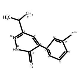 CC(C)c1cc(-c2cccc(F)c2)c(=O)[nH]n1